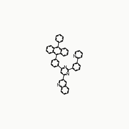 c1ccc(-c2c3ccccc3c(-c3cccc(-c4cc(-c5cnc6ccccc6c5)nc(-c5cccc(-c6ccccn6)c5)n4)c3)c3ccccc23)cc1